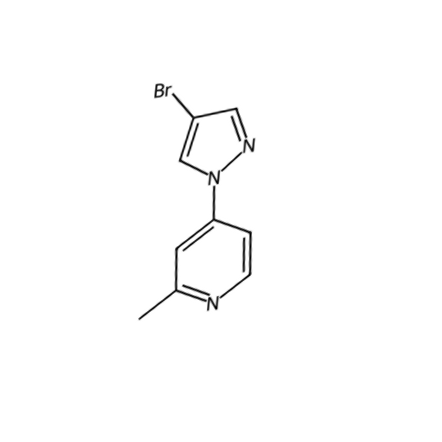 Cc1cc(-n2cc(Br)cn2)ccn1